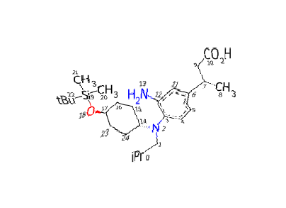 CC(C)CN(c1ccc(C(C)CC(=O)O)cc1N)[C@H]1CC[C@H](O[Si](C)(C)C(C)(C)C)CC1